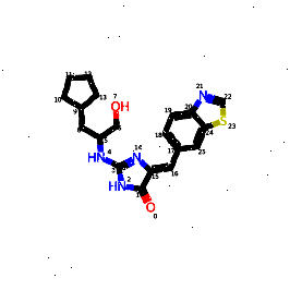 O=C1NC(NC(CO)CC2CCCC2)=N/C1=C\c1ccc2ncsc2c1